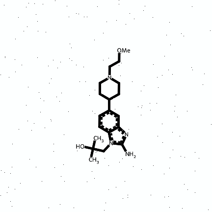 COCCN1CCC(c2ccc3c(c2)nc(N)n3CC(C)(C)O)CC1